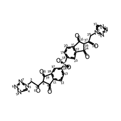 O=C(Cn1cnnn1)C1C(=O)c2ccc(S(=O)(=O)c3ccc4c(c3)C(=O)C(C(=O)Cn3cnnn3)C4=O)cc2C1=O